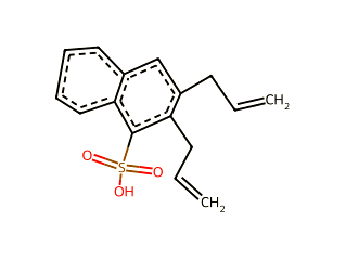 C=CCc1cc2ccccc2c(S(=O)(=O)O)c1CC=C